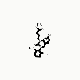 COC(=O)CCCN1C(=O)N(c2c(C)cccc2C)Cc2cnc(Cl)nc21